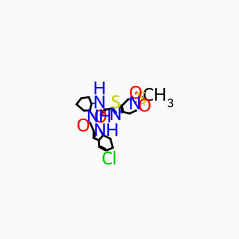 CS(=O)(=O)N1CCc2nc(C(=O)N[C@@H]3CCCC[C@@H]3NC(=O)C3=CC4C=C(Cl)CCC4N3)sc2C1